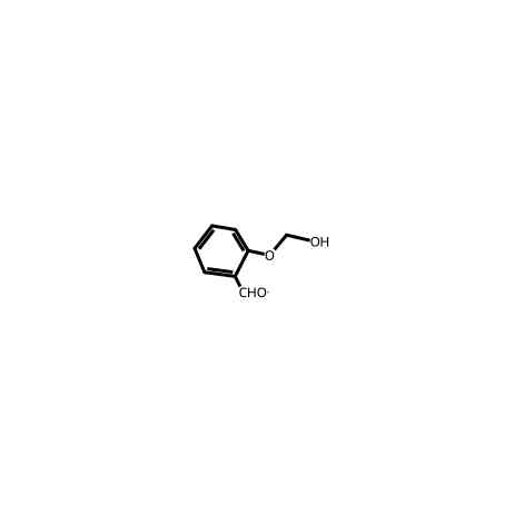 O=[C]c1ccccc1OCO